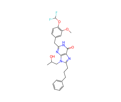 COc1cc(Cc2nc3c(nc(CCCc4ccccc4)n3CC(C)O)c(=O)[nH]2)ccc1OC(F)F